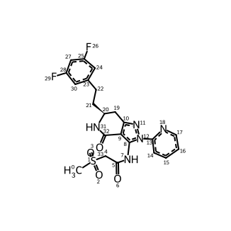 CS(=O)(=O)CC(=O)Nc1c2c(nn1-c1ccccn1)C[C@H](CCc1cc(F)cc(F)c1)NC2=O